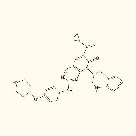 C=C(c1cc2cnc(Nc3ccc(OC4CCNCC4)cc3)nc2n(C2Cc3ccccc3N(C)C2)c1=O)C1CC1